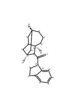 O=C(C1[C@H]2CC3C[C@H](CCC[C@H]31)C2)N1CCc2ccccc21